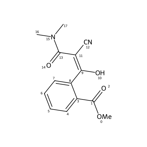 COC(=O)c1ccccc1C(O)=C(C#N)C(=O)N(C)C